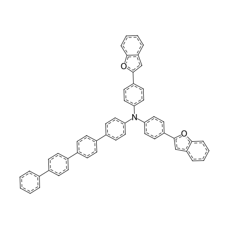 c1ccc(-c2ccc(-c3ccc(-c4ccc(N(c5ccc(-c6cc7ccccc7o6)cc5)c5ccc(-c6cc7ccccc7o6)cc5)cc4)cc3)cc2)cc1